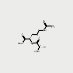 CNC(=O)[C@H](CCCNC(N)=O)NC(=O)[C@H](C)N